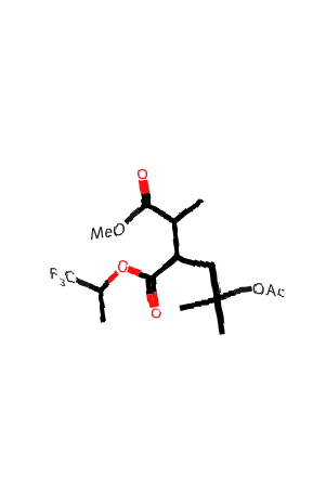 COC(=O)C(C)C(CC(C)(C)OC(C)=O)C(=O)OC(C)C(F)(F)F